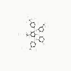 CC(C)(C)c1ccc(N2c3cc(Br)ccc3B3c4ccc(C(C)(C)C)cc4N(c4ccc(C(C)(C)C)cc4)c4cc(C(C)(C)C)cc2c43)cc1